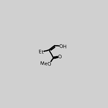 CC/C(=C/O)C(=O)OC